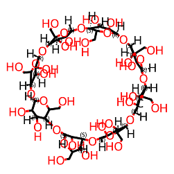 OCC1O[C@H]2O[C@@H]3C(CO)O[C@H](O[C@@H]4C(CO)O[C@H](O[C@@H]5C(CO)O[C@H](O[C@@H]6C(CO)O[C@H](O[C@@H]7C(CO)O[C@@H](O[C@@H]8C(CO)C[C@H](O[C@@H]9C(CO)O[C@H](O[C@H](C2O)[C@@H]1O)C(O)[C@H]9O)C(O)[C@H]8O)C(O)[C@H]7O)C(O)[C@H]6O)C(O)[C@H]5O)C(O)[C@H]4O)C(O)[C@H]3O